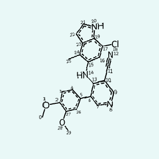 COc1ccc(-c2cncc(C#N)c2Nc2cc(Cl)c3[nH]ccc3c2C)cc1OC